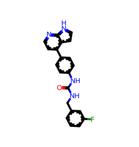 O=C(NCc1cccc(F)c1)Nc1ccc(-c2ccnc3[nH]ccc23)cc1